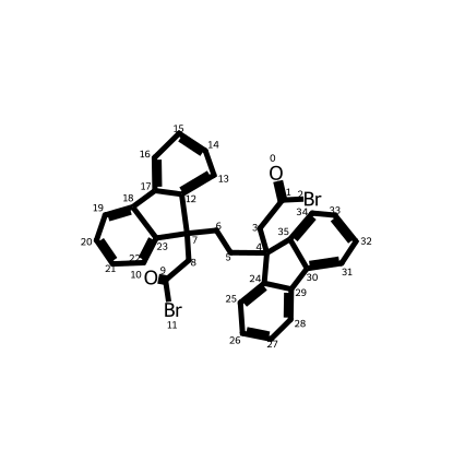 O=C(Br)CC1(CCC2(CC(=O)Br)c3ccccc3-c3ccccc32)c2ccccc2-c2ccccc21